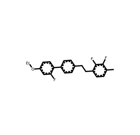 CCOc1ccc(-c2ccc(CCc3ccc(C)c(F)c3F)cc2)c(F)c1